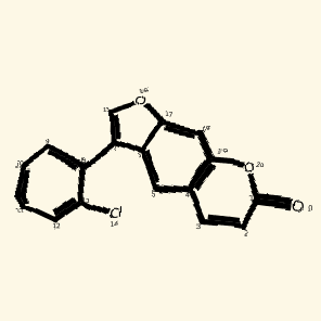 O=c1ccc2cc3c(-c4ccccc4Cl)coc3cc2o1